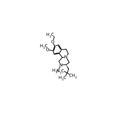 CCOc1cc2c(cc1OC)C1CN(C)[C@H](CC(C)(C)C)CN1CC2